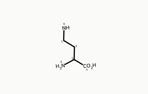 [NH]CC[C](N)C(=O)O